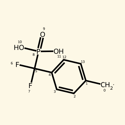 [CH2]c1ccc(C(F)(F)P(=O)(O)O)cc1